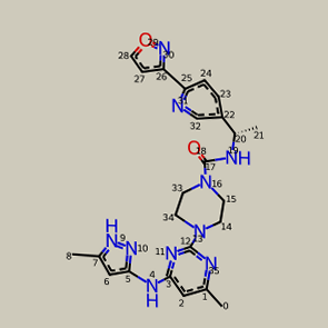 Cc1cc(Nc2cc(C)[nH]n2)nc(N2CCN(C(=O)N[C@@H](C)c3ccc(-c4ccon4)nc3)CC2)n1